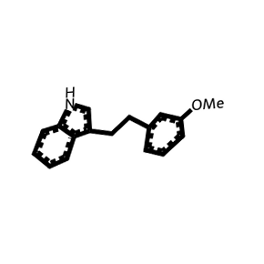 COc1cccc(CCc2c[nH]c3ccccc23)c1